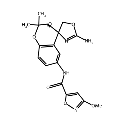 COc1cc(C(=O)Nc2ccc3c(c2)C2(COC(N)=N2)C2(COC2)C(C)(C)O3)on1